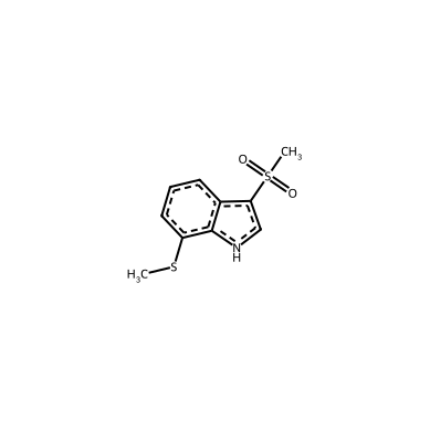 CSc1cccc2c(S(C)(=O)=O)c[nH]c12